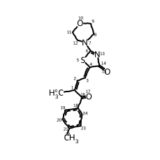 CC(=CC=C1SC(N2CCOCC2)=NC1=O)C(=O)c1ccc(C)cc1